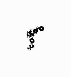 CN(C)[C@@H]1CCN(C2CCC(n3cc(-c4ccc(Oc5ccccc5)cc4)c4c(N)ncnc43)CC2)C1